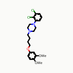 COc1ccc(OCCCCN2CCN(c3cccc(Cl)c3Cl)CC2)cc1OC